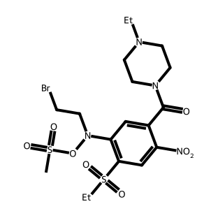 CCN1CCN(C(=O)c2cc(N(CCBr)OS(C)(=O)=O)c(S(=O)(=O)CC)cc2[N+](=O)[O-])CC1